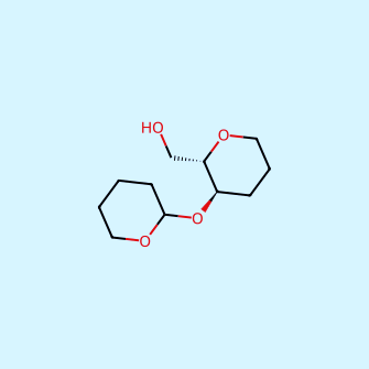 OC[C@@H]1OCCC[C@H]1OC1CCCCO1